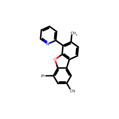 Cc1ccc2c(oc3c(C(C)C)cc(C#N)cc32)c1-c1ccccn1